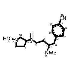 CN[C@@H](CCNC1CCN(C)C1)Cc1ccc(C#N)cc1